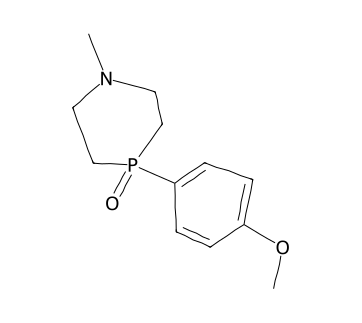 COc1ccc(P2(=O)CCN(C)CC2)cc1